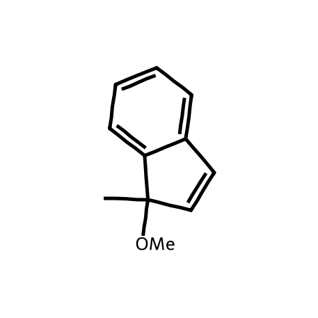 COC1(C)C=Cc2ccccc21